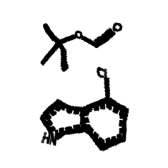 CC(C)(C)OC=O.Clc1cccc2[nH]ccc12